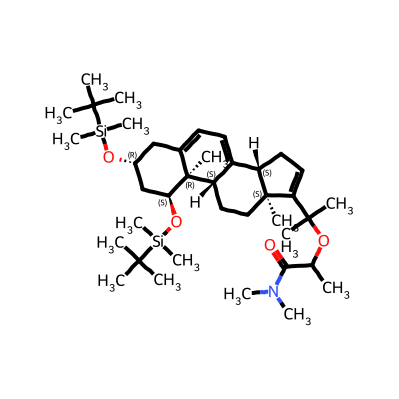 CC(OC(C)(C)C1=CC[C@H]2C3=CC=C4C[C@@H](O[Si](C)(C)C(C)(C)C)C[C@H](O[Si](C)(C)C(C)(C)C)[C@]4(C)[C@H]3CC[C@]12C)C(=O)N(C)C